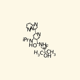 CC(C)Nc1cc(-c2cnc3cccnn23)ncc1C(=O)NC[C@@H](F)C(C)(C)O